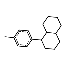 Cc1ccc(C2CCCC3CCCCC32)cc1